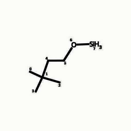 CC(C)(C)CCO[SiH3]